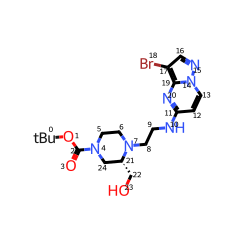 CC(C)(C)OC(=O)N1CCN(CCNc2ccn3ncc(Br)c3n2)[C@H](CO)C1